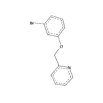 Brc1cccc(OCc2ccccn2)c1